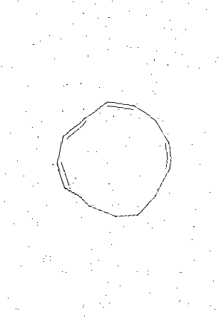 [C]1=CCCCCC=CCC=CC=C1